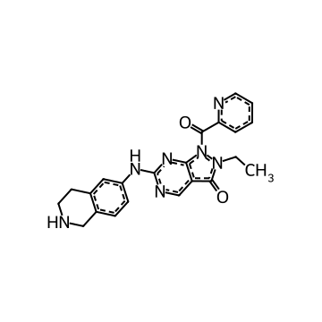 CCn1c(=O)c2cnc(Nc3ccc4c(c3)CCNC4)nc2n1C(=O)c1ccccn1